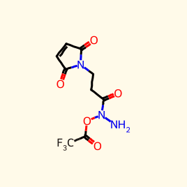 NN(OC(=O)C(F)(F)F)C(=O)CCN1C(=O)C=CC1=O